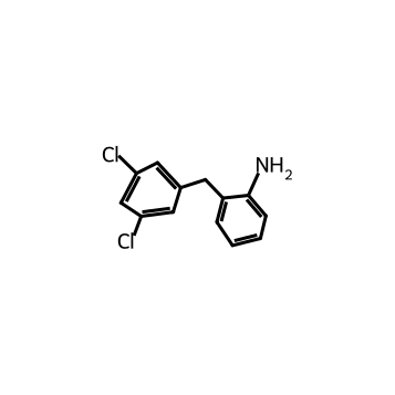 Nc1ccccc1Cc1cc(Cl)cc(Cl)c1